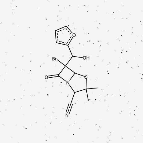 CC1(C)SC2N(C(=O)C2(Br)C(O)c2ccco2)C1C#N